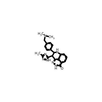 Cc1n[nH]c(C2c3n[nH]c(=O)c4cccc(c34)NC2c2ccc(CN(C)C)cc2)n1